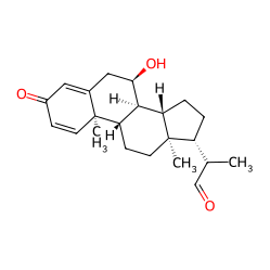 CC(C=O)[C@H]1CC[C@H]2[C@@H]3[C@H](O)CC4=CC(=O)C=C[C@]4(C)[C@H]3CC[C@]12C